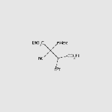 CCCCCCC(C#N)(C(=O)OCC)C(CCC)C(=O)OCC